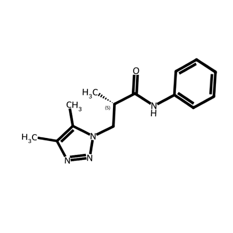 Cc1nnn(C[C@H](C)C(=O)Nc2ccccc2)c1C